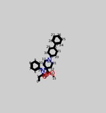 CCC(=O)N(c1ccccc1)C1(C(=O)OC)CCN(C2CCC(c3ccccc3)CC2)CC1